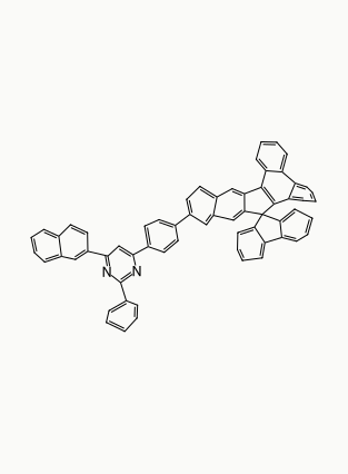 c1ccc(-c2nc(-c3ccc(-c4ccc5cc6c(cc5c4)C4(c5ccccc5-c5ccccc54)c4c-6c5ccccc5c5ccccc45)cc3)cc(-c3ccc4ccccc4c3)n2)cc1